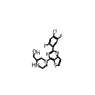 OCC1CN(c2nc(-c3cc(F)c(Cl)cc3F)nc3ccsc23)CCN1